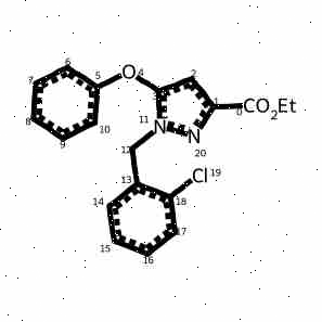 CCOC(=O)c1cc(Oc2ccccc2)n(Cc2ccccc2Cl)n1